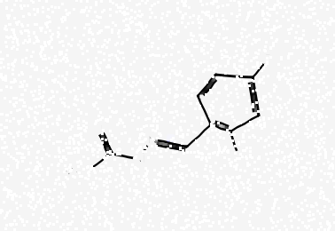 COC(=O)N/N=C/c1ccc(F)cc1Br